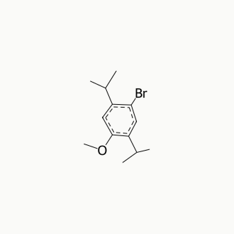 COc1cc(C(C)C)c(Br)cc1C(C)C